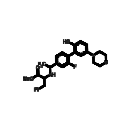 COC(=O)C(CC(C)C)NC(c1ccc(-c2cc(N3CCOCC3)ccc2O)c(F)c1)C(F)(F)F